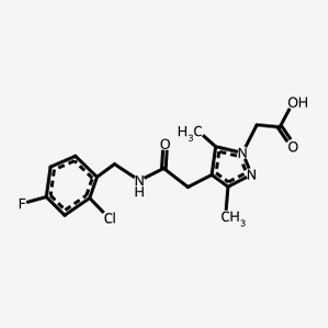 Cc1nn(CC(=O)O)c(C)c1CC(=O)NCc1ccc(F)cc1Cl